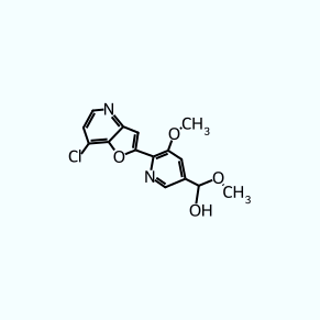 COc1cc(C(O)OC)cnc1-c1cc2nccc(Cl)c2o1